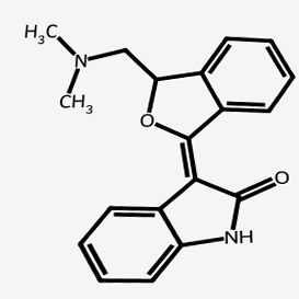 CN(C)CC1OC(=C2C(=O)Nc3ccccc32)c2ccccc21